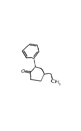 CCC1CCC(=O)C(c2ccccc2)C1